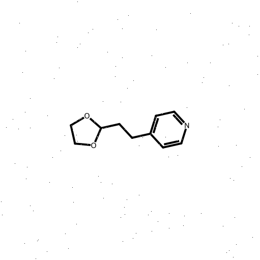 c1cc(CCC2OCCO2)ccn1